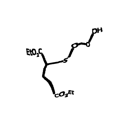 CCOC(=O)CC(SOOO)C(=O)OCC